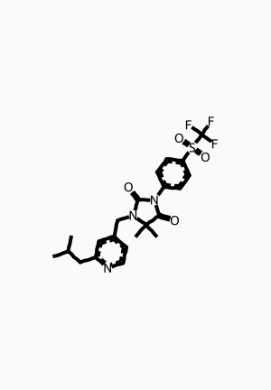 CC(C)Cc1cc(CN2C(=O)N(c3ccc(S(=O)(=O)C(F)(F)F)cc3)C(=O)C2(C)C)ccn1